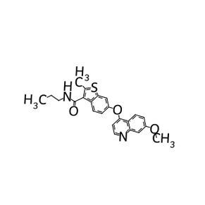 CCCNC(=O)c1c(C)sc2cc(Oc3ccnc4cc(OC)ccc34)ccc12